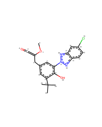 COC(=C=O)Cc1cc(-n2nc3ccc(Cl)cc3n2)c(O)c(C(C)(C)C)c1